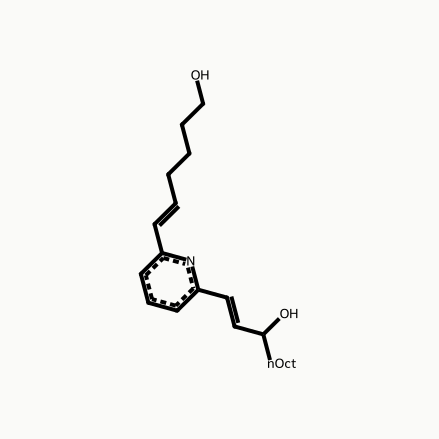 CCCCCCCCC(O)C=Cc1cccc(C=CCCCCO)n1